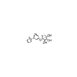 O[C@@H]1[C@@H](O)[C@H](Oc2cncc(-c3cccs3)c2)SC[C@H]1O